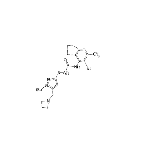 CCc1c(C)cc2c(c1NC(=O)NSc1cc(CN3CCC3)n(C(C)(C)C)n1)CCC2